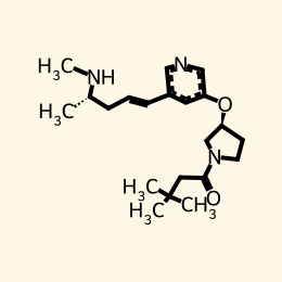 CN[C@@H](C)CC=Cc1cncc(O[C@H]2CCN(C(=O)CC(C)(C)C)C2)c1